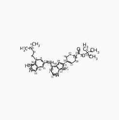 CN(C)CCc1cc(Nc2ncnc3[nH]c(C4=CCN(C(=O)OC(C)(C)C)CC4)cc23)cc2cn[nH]c12